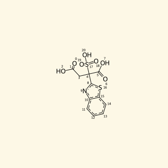 O=C(O)CC(C(=O)O)(c1nc2ccccc2s1)S(=O)(=O)O